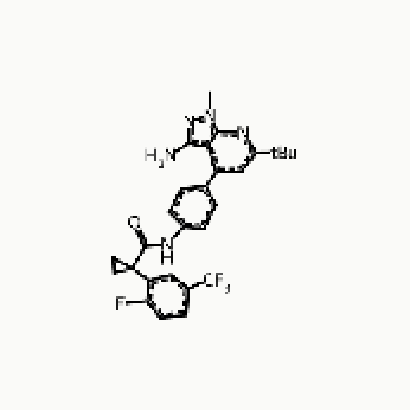 Cn1nc(N)c2c(-c3ccc(NC(=O)C4(c5cc(C(F)(F)F)ccc5F)CC4)cc3)cc(C(C)(C)C)nc21